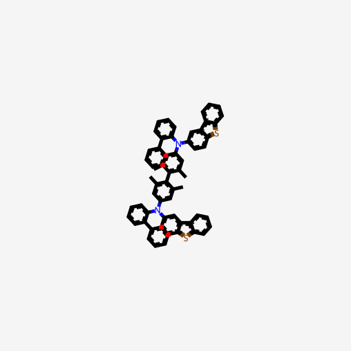 Cc1cc(N(c2ccc3sc4ccccc4c3c2)c2ccccc2-c2ccccc2)cc(C)c1-c1c(C)cc(N(c2ccc3sc4ccccc4c3c2)c2ccccc2-c2ccccc2)cc1C